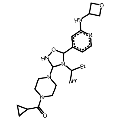 CCCC(CC)N1C(c2ccnc(NC3COC3)c2)ONC1N1CCN(C(=O)C2CC2)CC1